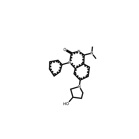 CN(C)c1nc(=O)n(-c2ccccc2)c2cc(N3CCC(O)C3)ccc12